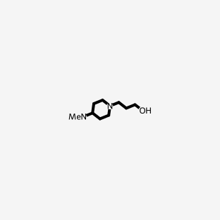 CNC1CCN(CCCO)CC1